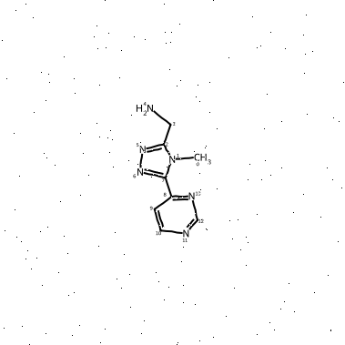 Cn1c(CN)nnc1-c1ccncn1